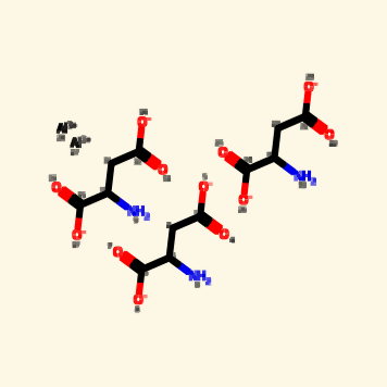 NC(CC(=O)[O-])C(=O)[O-].NC(CC(=O)[O-])C(=O)[O-].NC(CC(=O)[O-])C(=O)[O-].[Al+3].[Al+3]